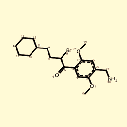 COc1cc(C(=O)C(Br)CCC2CCCCC2)c(OC)cc1CN